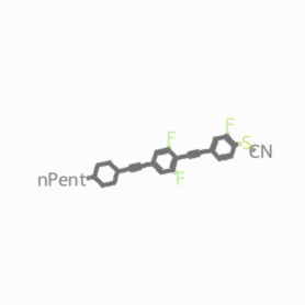 CCCCCC1CCC(C#Cc2cc(F)c(C#Cc3ccc(SC#N)c(F)c3)c(F)c2)CC1